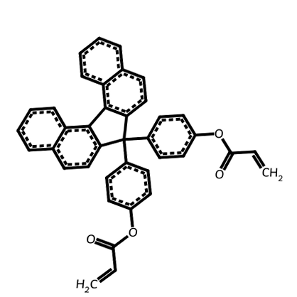 C=CC(=O)Oc1ccc(C2(c3ccc(OC(=O)C=C)cc3)c3ccc4ccccc4c3-c3c2ccc2ccccc32)cc1